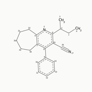 CCC(C)c1nc2c(c(-c3ccccc3)c1C#N)CCCCC2